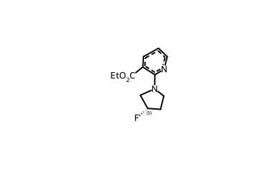 CCOC(=O)c1cccnc1N1CC[C@H](F)C1